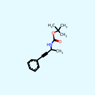 CC(C#Cc1ccccc1)NC(=O)OC(C)(C)C